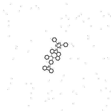 c1ccc(C2=C(c3ccc(-n4c5ccccc5c5ccccc54)cc3)c3cccc4ccc5c(c34)c3c2cccc3n5-c2nc(-c3ccccc3)nc(-c3ccccc3)n2)cc1